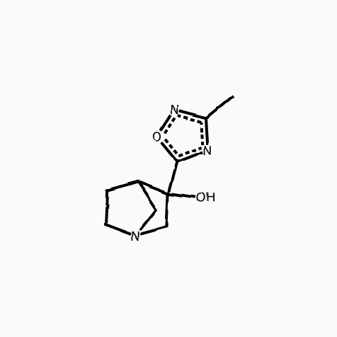 Cc1noc(C2(O)CN3CCC2C3)n1